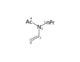 C=CN(CCC)C(C)=O